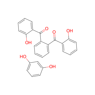 O=C(c1ccccc1O)c1ccccc1C(=O)c1ccccc1O.Oc1cccc(O)c1